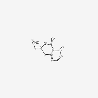 Cc1cccc2c1C(=O)OC(CC=O)C2